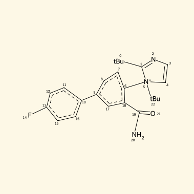 CC(C)(C)C1=NC=C[N+]1(c1ccc(-c2ccc(F)cc2)cc1C(N)=O)C(C)(C)C